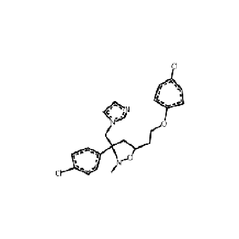 CN1OC(CCOc2ccc(Cl)cc2)CC1(Cn1ccnc1)c1ccc(Cl)cc1